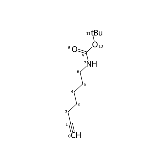 C#CCCCCCNC(=O)OC(C)(C)C